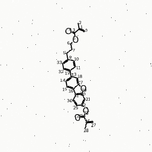 C=C(C)C(=O)OCCCc1ccc(-c2ccc3c(c2)oc2cc(OC(=O)C(=C)C)ccc23)cc1